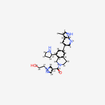 Cc1c[nH]c2ncc(-c3cc4c(c(C5CCCN5)c3)CN(C(=O)c3cnn(CCO)c3)CC4)cc12